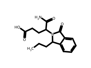 CCCC1c2ccccc2C(=O)N1C(CCC(=O)O)C(N)=O